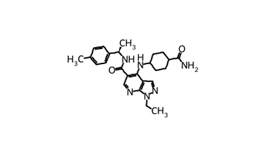 CCn1ncc2c(NC3CCC(C(N)=O)CC3)c(C(=O)N[C@H](C)c3ccc(C)cc3)cnc21